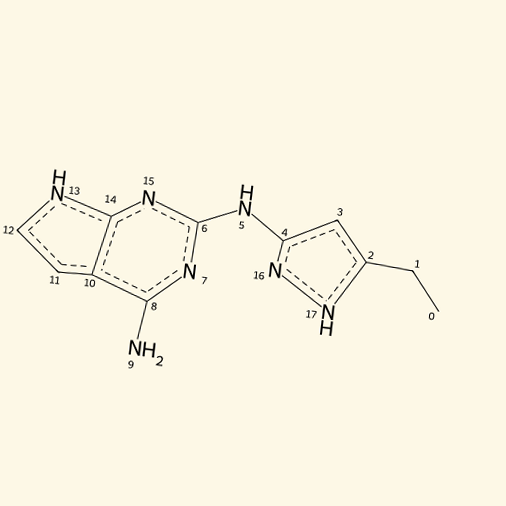 CCc1cc(Nc2nc(N)c3cc[nH]c3n2)n[nH]1